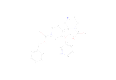 O=C(OCc1ccccc1)N1CCC(C2(COc3cccnc3)CNCCN2C(=O)O)CC1